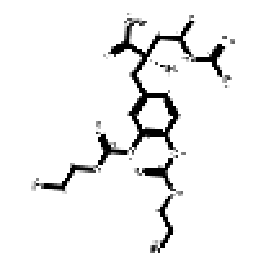 COC(=O)[C@](N)(Cc1ccc(OC(=O)OCCC(C)C)c(OC(=O)OCCC(C)C)c1)CC(C)OC(=O)C(C)C